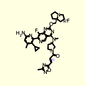 Cc1noc(/C=C/C(=O)N2CC[C@@H](N(C)c3nc(OC[C@@]45CCCN4C[C@H](F)C5)nc4c(F)c(-c5nc(N)cc(C)c5C5CC5)ncc34)C2)n1